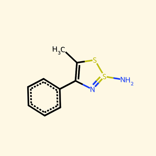 CC1=C(c2ccccc2)N=S(N)S1